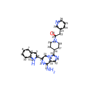 Nc1nc(-c2cc3ccccc3[nH]2)cn2c(C3CCN(C(=O)Cc4cccnc4)CC3)ncc12